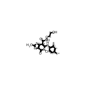 Cc1nc2c(=O)n(C)c(Nc3ccc(I)cc3F)c(C(=O)NOCCO)c2s1